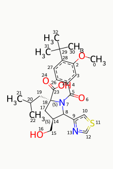 COc1cc(C(=O)N2C(c3cscn3)[C@@H](CO)C[C@@]2(CC(C)C)C(=O)O)ccc1C(C)(C)C